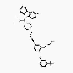 CC(O)C(N1CCN(CCC#Cc2ccc(OCc3ccc(F)c(C(F)(F)F)c3)c(CNCCO)c2)CC1)n1c2ccc(Br)cc2c2cc(Br)ccc21